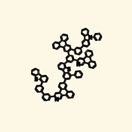 c1ccc(-c2cc(-c3ccc4c(c3)c3ccccc3c3cnc(-c5cccc(-c6cccc(-c7cccc8c7sc7ccccc78)c6)c5)cc43)cc3c2sc2c(-c4cc(-c5cc6c7ccccc7c7ccccc7c6cn5)cc(-c5cc6c7ccccc7c7ccccc7c6cc5-c5cccc(-c6ccc7c(c6)c6ccccc6n7-c6ccccc6)c5)c4)cccc23)cc1